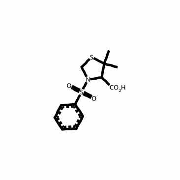 CC1(C)SCN(S(=O)(=O)c2ccccc2)C1C(=O)O